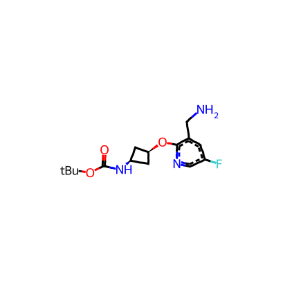 CC(C)(C)OC(=O)N[C@H]1C[C@@H](Oc2ncc(F)cc2CN)C1